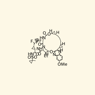 CC[C@@H]1[C@@H]2CN(C(=O)[C@H](C(C)(C)C)NC(=O)O[C@@H]3C[C@H]3CCC[C@@H]3C[C@H]3c3nc4ccc(OC)cc4nc3O2)[C@@H]1C(=O)N[C@]1(C(=O)NS(=O)(=O)C2(C)CC2)C[C@H]1C(F)F